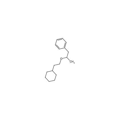 CC(Cc1ccccc1)OCCC1CCCCC1